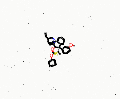 C=CC1CN2CCC1C[C@H]2[C@H](OC(=S)Oc1ccccc1)[C@@](CC)(c1ccccc1)c1cccc(OC)c1